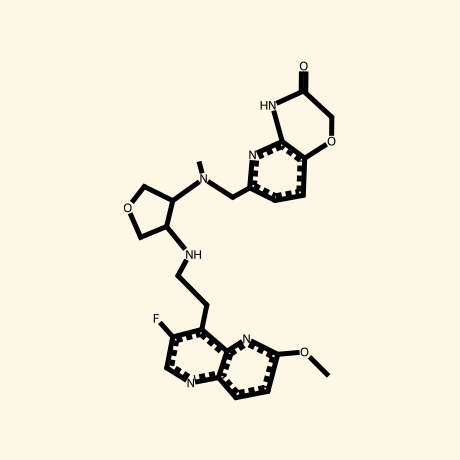 COc1ccc2ncc(F)c(CCNC3COCC3N(C)Cc3ccc4c(n3)NC(=O)CO4)c2n1